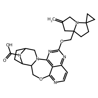 C=C1CN2C3(CC3)CCC2(COc2nc3c4c(nccc4n2)OCC2C4CCC(CN32)N4C(=O)O)C1